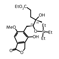 CCOC(=O)CC[C@](C)(O)[C@H](Cc1c(OC)cc2c(c1O)COC2=O)O[Si](CC)(CC)CC